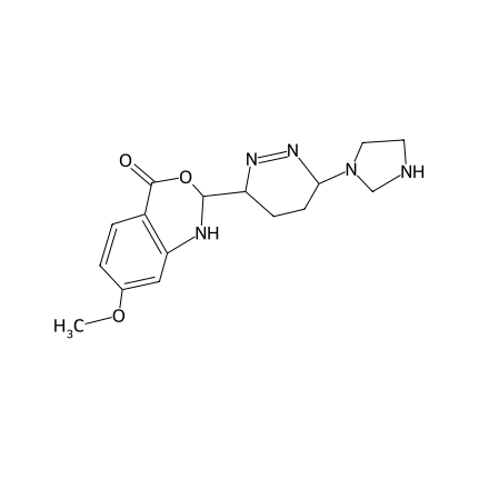 COc1ccc2c(c1)NC(C1CCC(N3CCNC3)N=N1)OC2=O